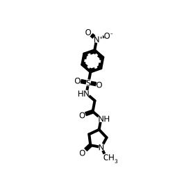 CN1CC(NC(=O)CNS(=O)(=O)c2ccc([N+](=O)[O-])cc2)CC1=O